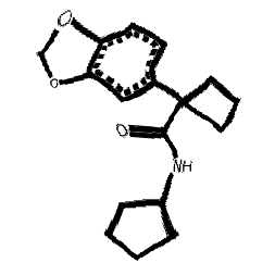 O=C(NC1CCCC1)C1(c2ccc3c(c2)OCO3)CCC1